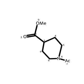 COC(=O)C1CCN(C(C)=O)CC1